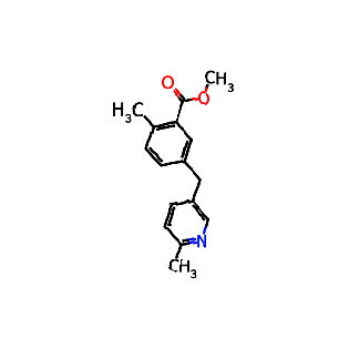 COC(=O)c1cc(Cc2ccc(C)nc2)ccc1C